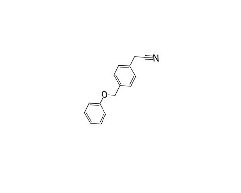 N#CCc1ccc(COc2ccccc2)cc1